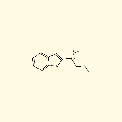 CCC[C@@H](O)c1cc2ccccc2s1